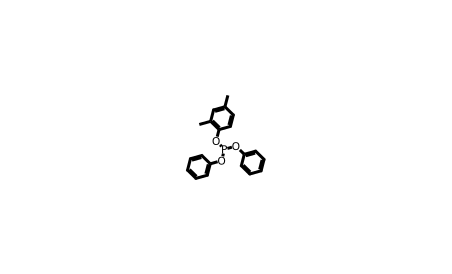 Cc1ccc(OP(Oc2ccccc2)Oc2ccccc2)c(C)c1